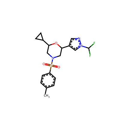 Cc1ccc(S(=O)(=O)N2CC(c3cnn(C(F)F)c3)OC(C3CC3)C2)cc1